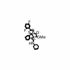 CO[C@@H](C)C(=O)N1N=C(c2cc(F)ccc2F)SC1(CCCNC1CC=CCC1)c1ccccc1